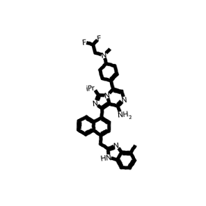 Cc1cccc2[nH]c(Cc3ccc(-c4nc(C(C)C)n5c(C6=CCC(N(C)CC(F)F)CC6)cnc(N)c45)c4ccccc34)nc12